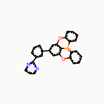 O=P12c3ccccc3Oc3cc(-c4cccc(-c5ncccn5)c4)cc(c31)Oc1ccccc12